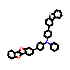 c1ccc(N(c2ccc(-c3ccc4c(c3)oc3c5ccccc5oc43)cc2)c2ccc(-c3ccc4sc5ccccc5c4c3)cc2)cc1